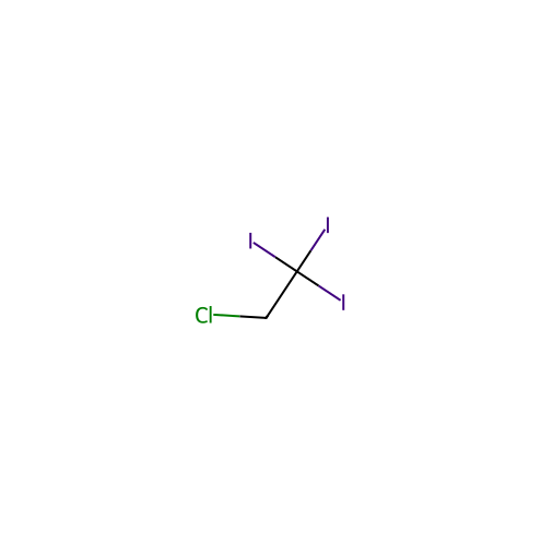 ClCC(I)(I)I